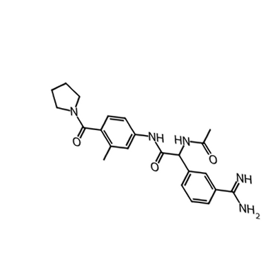 CC(=O)NC(C(=O)Nc1ccc(C(=O)N2CCCC2)c(C)c1)c1cccc(C(=N)N)c1